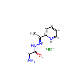 CC(=NNC(=O)CN)c1ccccn1.Cl